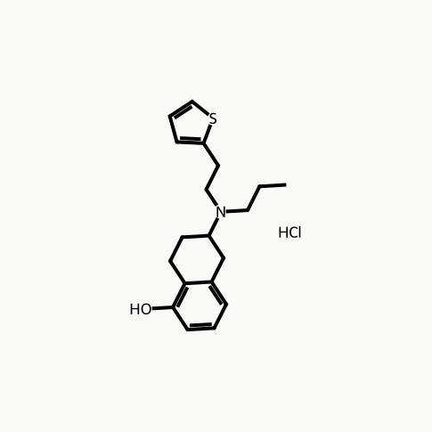 CCCN(CCc1cccs1)C1CCc2c(O)cccc2C1.Cl